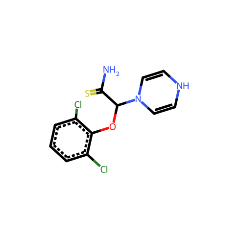 NC(=S)C(Oc1c(Cl)cccc1Cl)N1C=CNC=C1